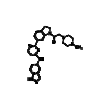 CN1CCN(CC(=O)N2CCc3ccc(-c4nccc(Nc5ccc6[nH]ncc6c5)n4)cc32)CC1